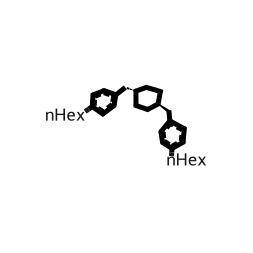 CCCCCCc1ccc(C[C@H]2CC[C@H](Cc3ccc(CCCCCC)cc3)CC2)cc1